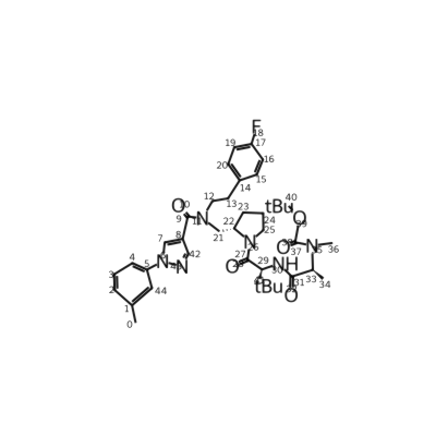 Cc1cccc(-n2cc(C(=O)N(CCc3ccc(F)cc3)C[C@@H]3CCCN3C(=O)[C@@H](NC(=O)[C@H](C)N(C)C(=O)OC(C)(C)C)C(C)(C)C)cn2)c1